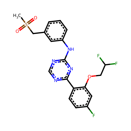 CS(=O)(=O)Cc1cccc(Nc2ncnc(-c3ccc(F)cc3OCC(F)F)n2)c1